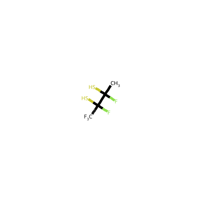 CC(F)(S)C(F)(S)C(F)(F)F